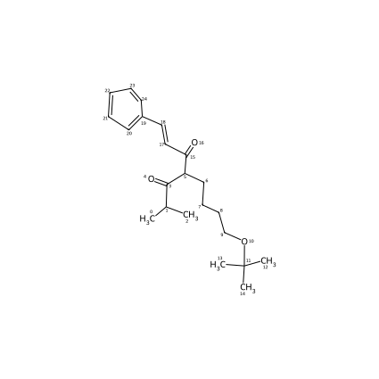 CC(C)C(=O)C(CCCCOC(C)(C)C)C(=O)/C=C/c1ccccc1